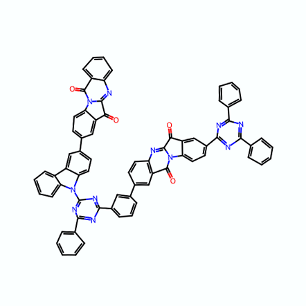 O=C1c2cc(-c3ccc4c(c3)c3ccccc3n4-c3nc(-c4ccccc4)nc(-c4cccc(-c5ccc6nc7n(c(=O)c6c5)-c5ccc(-c6nc(-c8ccccc8)nc(-c8ccccc8)n6)cc5C7=O)c4)n3)ccc2-n2c1nc1ccccc1c2=O